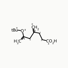 C=C(CCC(=O)O)CC(=C)OC(C)(C)C